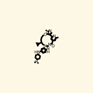 Cc1cc2cc(n1)-c1cnn(C)c1OCCCC(C1CC1)CN1/C(=N/C2=O)Nc2ccc(NC3CCC(N(C)C)CC3)cc21